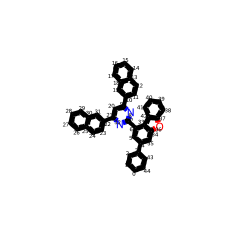 c1ccc(-c2cc(-c3nc(-c4ccc5ccccc5c4)cc(-c4ccc5ccccc5c4)n3)c3c(c2)oc2ccccc23)cc1